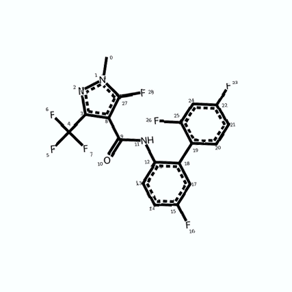 Cn1nc(C(F)(F)F)c(C(=O)Nc2ccc(F)cc2-c2ccc(F)cc2F)c1F